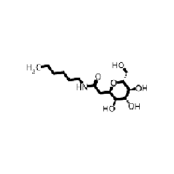 CCCCCCNC(=O)CC1O[C@H](CO)[C@@H](O)[C@H](O)[C@H]1O